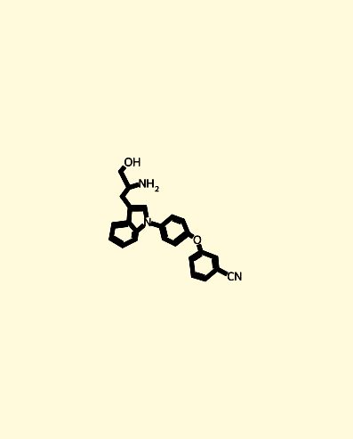 N#Cc1cccc(Oc2ccc(-n3cc(CC(N)CO)c4ccccc43)cc2)c1